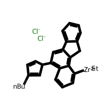 CCCCC1=CC(c2cc3c(c4[c]([Zr+2][CH2]C)cccc24)Cc2ccccc2-3)C=C1.[Cl-].[Cl-]